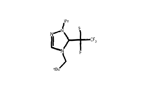 CC(C)N1N=CN(CC(C)(C)C)C1C(F)(F)C(F)(F)F